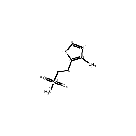 Cc1ncsc1CCS(C)(=O)=O